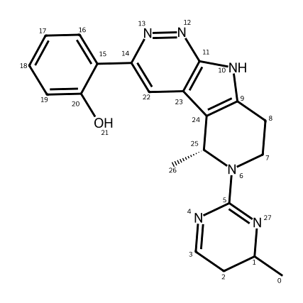 CC1CC=NC(N2CCc3[nH]c4nnc(-c5ccccc5O)cc4c3[C@H]2C)=N1